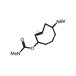 CNC(=O)OC1/C=C/CC(NC)CCC1